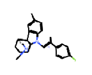 C/C(=C\N1c2ccc(C)cc2C2C3CCC(C21)N(C)C3)c1ccc(F)cc1